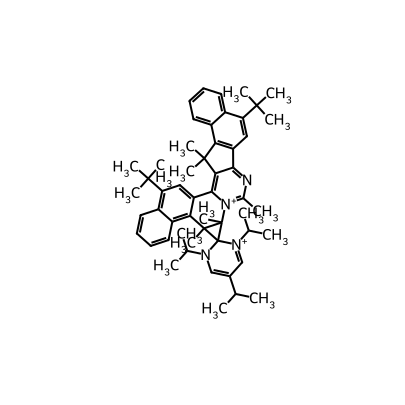 Cc1nc2c(c3[n+]1C1(C)C(C)(c4c-3cc(C(C)(C)C)c3ccccc43)C13N(C(C)C)C=C(C(C)C)C=[N+]3C(C)C)C(C)(C)c1c-2cc(C(C)(C)C)c2ccccc12